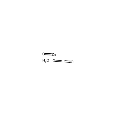 O.[O]=[Ti]=[O].[O]=[Zn]